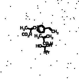 C=C(C)C(=O)O.C=C(C)C(=O)O.C=Cc1ccccc1.CCCC(O)O